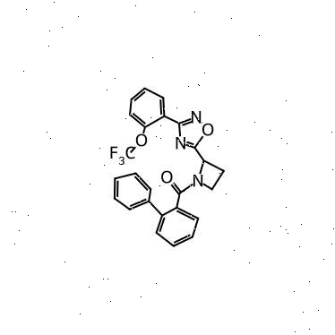 O=C(c1ccccc1-c1ccccc1)N1CCC1c1nc(-c2ccccc2OC(F)(F)F)no1